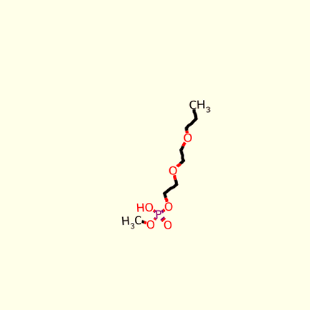 CCCOCCOCCOP(=O)(O)OC